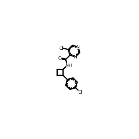 O=C(NC1CCC1c1ccc(Cl)cc1)c1ncncc1Cl